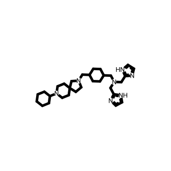 c1c[nH]c(CN(Cc2ncc[nH]2)CC2CCC(CN3CCC4(CCN(C5CCCCC5)CC4)C3)CC2)n1